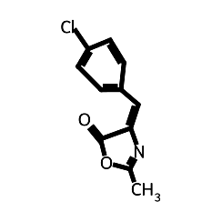 CC1=NC(=Cc2ccc(Cl)cc2)C(=O)O1